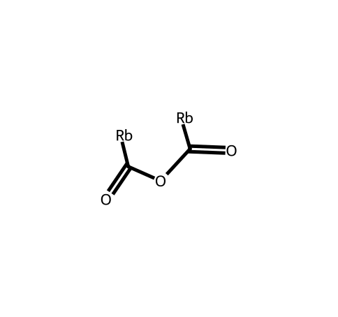 O=[C]([Rb])O[C](=O)[Rb]